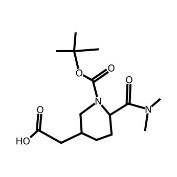 CN(C)C(=O)C1CCC(CC(=O)O)CN1C(=O)OC(C)(C)C